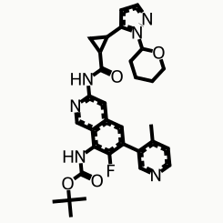 Cc1ccncc1-c1cc2cc(NC(=O)C3CC3c3ccnn3C3CCCCO3)ncc2c(NC(=O)OC(C)(C)C)c1F